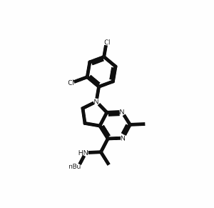 CCCCNC(C)c1nc(C)nc2c1CCN2c1ccc(Cl)cc1Cl